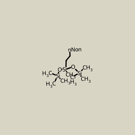 [CH2]CCCCCCCCCC[Si](C)(O[Si](C)(C)C)O[Si](C)(C)C